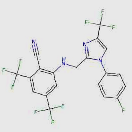 N#Cc1c(NCc2nc(C(F)(F)F)cn2-c2ccc(F)cc2)cc(C(F)(F)F)cc1C(F)(F)F